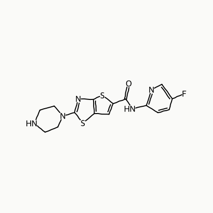 O=C(Nc1ccc(F)cn1)c1cc2sc(N3CCNCC3)nc2s1